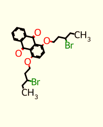 CCC(Br)CCOc1ccc(OCCC(Br)CC)c2c1C(=O)c1ccccc1C2=O